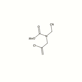 C=C(Cl)CN(CC#N)C(=O)OC